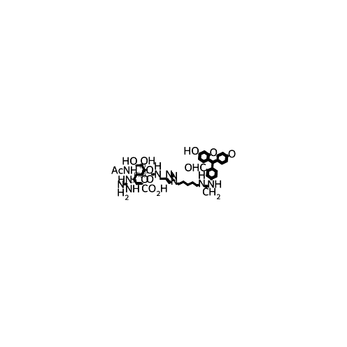 C=C(NCCCCCn1cc(CNC(=O)O[C@@H]([C@@H]2OC(C(=O)O)=C[C@H](NC(=N)N)[C@H]2NC(C)=O)[C@H](O)CO)nn1)Nc1ccc(-c2c3ccc(=O)cc-3oc3cc(O)ccc23)c(C=O)c1